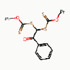 CC(C)OC(=S)SC(SC(=S)OC(C)C)C(=O)c1ccccc1